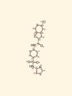 O=C(Nc1ccc(S(=O)(=O)Nc2nccs2)cc1)c1cc2cc(Cl)ccc2o1